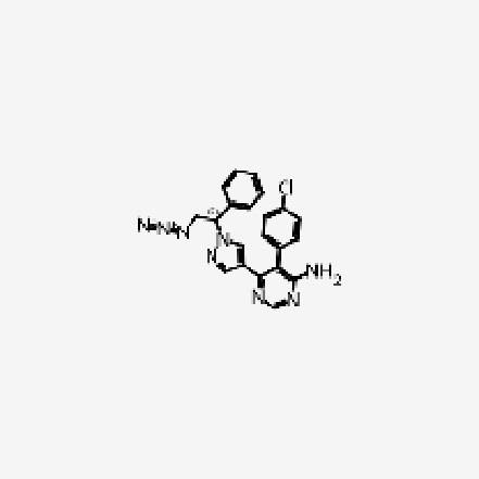 [N-]=[N+]=NC[C@@H](c1ccccc1)n1cc(-c2ncnc(N)c2-c2ccc(Cl)cc2)cn1